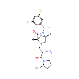 C[C@@H](c1cc(F)cc(F)c1)N1C(=O)[C@@H]2C[C@H]1CN2C[C@H](N)C(=O)N1CCC[C@H]1C#N